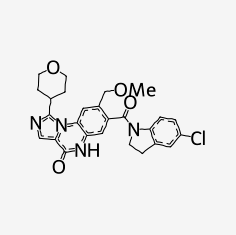 COCc1cc2c(cc1C(=O)N1CCc3cc(Cl)ccc31)[nH]c(=O)c1cnc(C3CCOCC3)n12